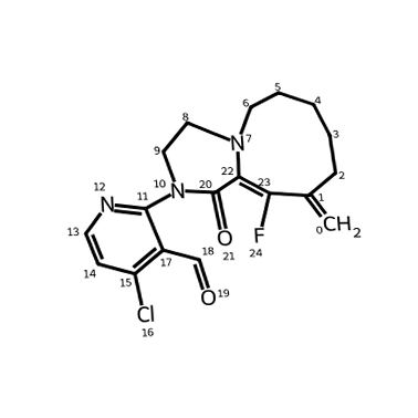 C=C1CCCCCN2CCN(c3nccc(Cl)c3C=O)C(=O)/C2=C/1F